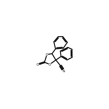 N#CC1(c2ccccc2)OC(=O)OC1c1ccccc1